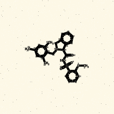 COc1ncccc1S(=O)(=O)NC(=O)C1c2ccccc2CN1Cc1c(C)cc(C)cc1C